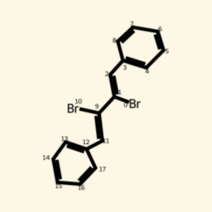 BrC(=C\c1ccccc1)/C(Br)=C/c1ccccc1